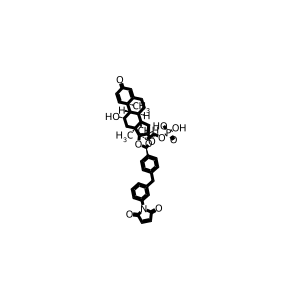 C[C@]12C[C@H](O)[C@H]3[C@@H](CCC4=CC(=O)C=C[C@@]43C)[C@]1(C)C[C@H]1O[C@@H](c3ccc(Cc4cccc(N5C(=O)C=CC5=O)c4)cc3)O[C@]12C(=O)COP(=O)(O)O